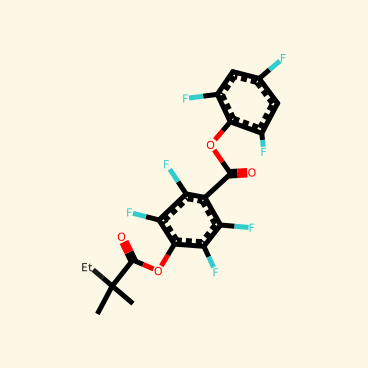 CCC(C)(C)C(=O)Oc1c(F)c(F)c(C(=O)Oc2c(F)cc(F)cc2F)c(F)c1F